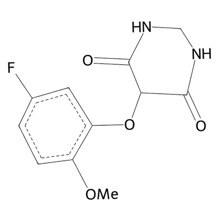 COc1ccc(F)cc1OC1C(=O)NCNC1=O